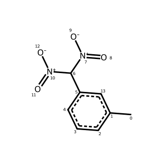 Cc1cccc(C([N+](=O)[O-])[N+](=O)[O-])c1